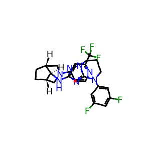 Fc1cc(F)cc(N2CCCn3nc(N[C@@H]4[C@@H]5CC[C@H]4CN(c4ccnc(C(F)(F)F)c4)C5)nc32)c1